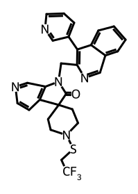 O=C1N(Cc2ncc3ccccc3c2-c2cccnc2)c2cnccc2C12CCN(SCC(F)(F)F)CC2